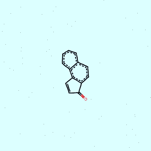 O=C1C=Cc2c1ccc1ccccc21